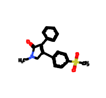 CN1CC(c2ccc(S(C)(=O)=O)cc2)=C(c2ccccc2)C1=O